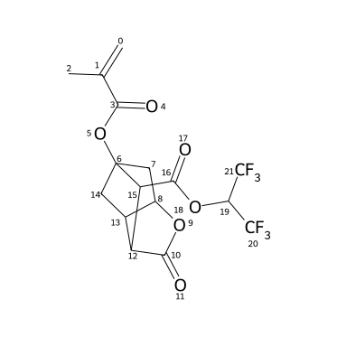 C=C(C)C(=O)OC12CC3OC(=O)C(C3C1)C2C(=O)OC(C(F)(F)F)C(F)(F)F